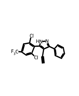 C#Cc1c(-c2ccccc2)n[nH]c1-c1c(Cl)cc(C(F)(F)F)cc1Cl